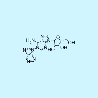 NC1c2ncn([C@@H]3O[C@H](CO)C(O)C3O)c2N=CN1n1cnc2cncnc21